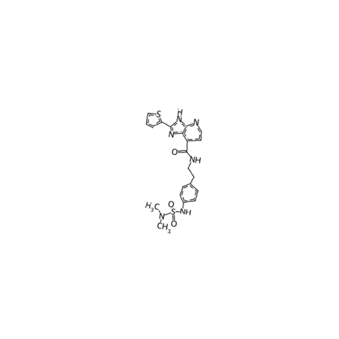 CN(C)S(=O)(=O)Nc1ccc(CCNC(=O)c2ccnc3[nH]c(-c4cccs4)nc23)cc1